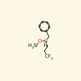 FC(F)(F)CC[SiH](Cc1ccccc1)O[SiH3]